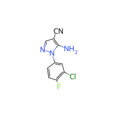 N#Cc1cnn(-c2ccc(F)c(Cl)c2)c1N